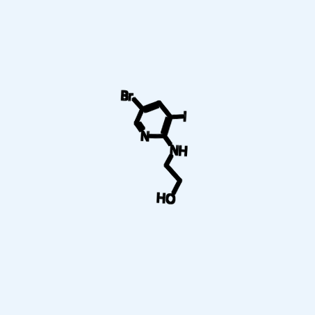 OCCNc1ncc(Br)cc1I